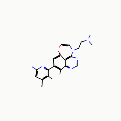 Cc1cc(N)nc(-c2cc3c4c(c2Cl)=NCNC=4N(CCN(C)C)C=CO3)c1C(F)(F)F